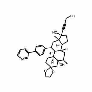 C[C@@H]1C[C@@H]2[C@H]([C@@H](c3ccc(-c4cccnc4)cc3)C[C@@]3(C)[C@H]2CC[C@@]3(O)C#CCO)[C@H]2CCC3(C[C@]12O)OCCO3